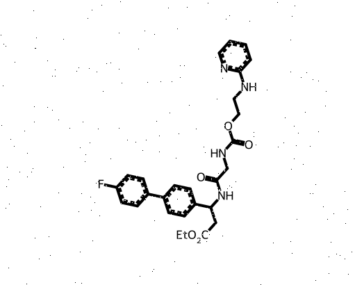 CCOC(=O)CC(NC(=O)CNC(=O)OCCNc1ccccn1)c1ccc(-c2ccc(F)cc2)cc1